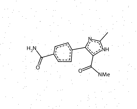 CNC(=O)c1[nH]c(C)nc1-c1ccc(C(N)=O)cc1